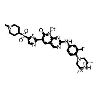 CCn1c(=O)c(-c2ncc(S(=O)(=O)C3CCN(C)CC3)s2)cc2cnc(Nc3ccc(N4C[C@@H](C)N[C@@H](C)C4)c(F)c3)nc21